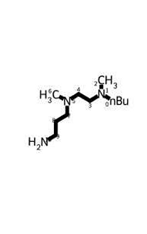 CCCCN(C)CCN(C)CCCN